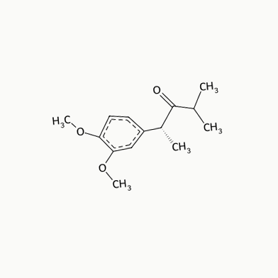 COc1ccc([C@@H](C)C(=O)C(C)C)cc1OC